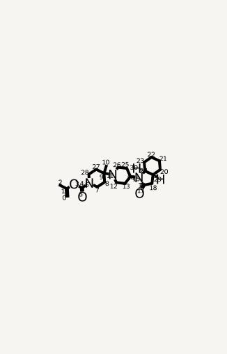 C=C(C)OC(=O)N1CCC(C)(N2CCC(N3C(=O)C[C@H]4CCCC[C@@H]43)CC2)CC1